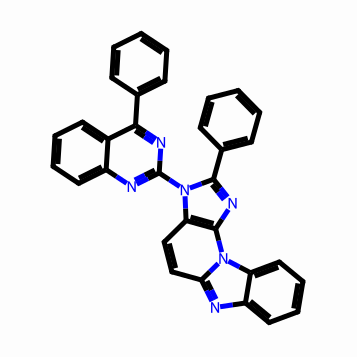 c1ccc(-c2nc(-n3c(-c4ccccc4)nc4c3ccc3nc5ccccc5n34)nc3ccccc23)cc1